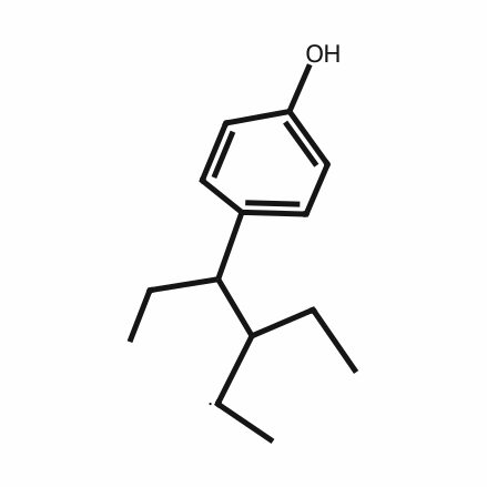 C[CH]C(CC)C(CC)c1ccc(O)cc1